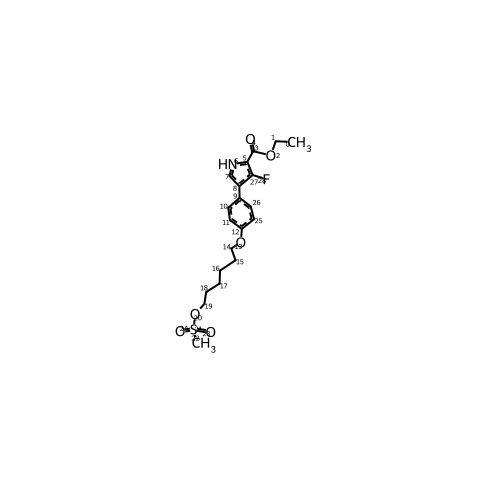 CCOC(=O)c1[nH]cc(-c2ccc(OCCCCCCOS(C)(=O)=O)cc2)c1F